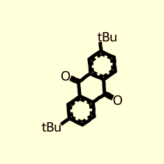 CC(C)(C)c1ccc2c(c1)C(=O)c1cc(C(C)(C)C)ccc1C2=O